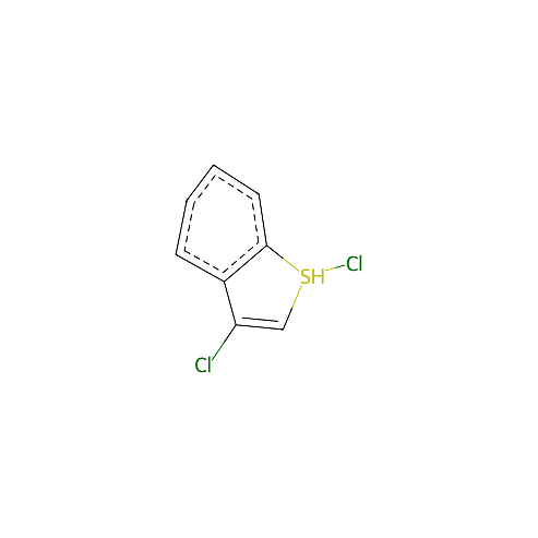 ClC1=C[SH](Cl)c2ccccc21